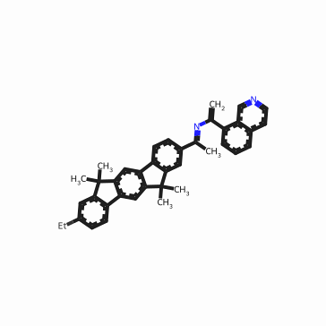 C=C(/N=C(\C)c1ccc2c(c1)C(C)(C)c1cc3c(cc1-2)C(C)(C)c1cc(CC)ccc1-3)c1cccc2ccncc12